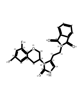 O=C1c2ccccc2C(=O)N1CCc1c[nH]c(=S)n1C1COc2c(F)cc(F)cc2C1